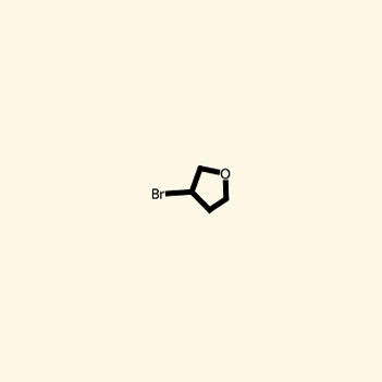 BrC1[CH]COC1